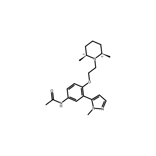 CC(=O)Nc1ccc(OCCN2[C@H](C)CCC[C@@H]2C)c(-c2ccnn2C)c1